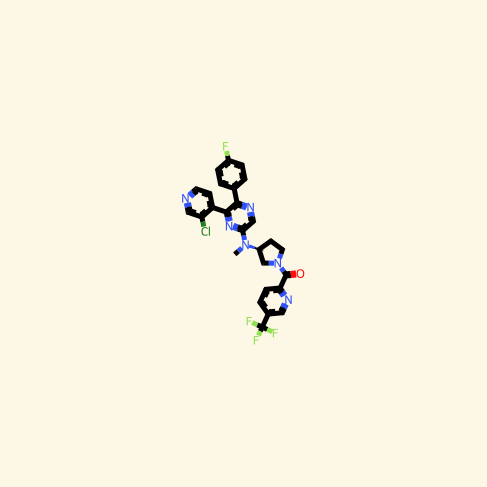 CN(c1cnc(-c2ccc(F)cc2)c(-c2ccncc2Cl)n1)[C@H]1CCN(C(=O)c2ccc(C(F)(F)F)cn2)C1